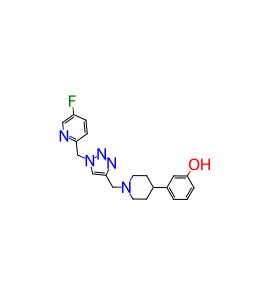 Oc1cccc(C2CCN(Cc3cn(Cc4ccc(F)cn4)nn3)CC2)c1